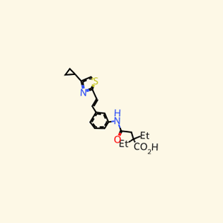 CCC(CC)(CC(=O)Nc1cccc(C=Cc2nc(C3CC3)cs2)c1)C(=O)O